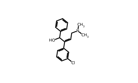 CN(C)CC=C(c1cccc(Cl)c1)C(O)c1ccccc1